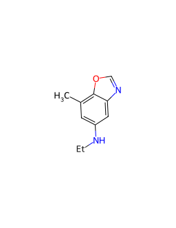 CCNc1cc(C)c2ocnc2c1